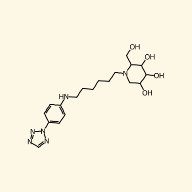 OCC1C(O)C(O)C(O)CN1CCCCCCNc1ccc(-n2ncnn2)cc1